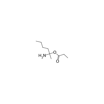 CCCCC(C)(N)OC(=O)CC